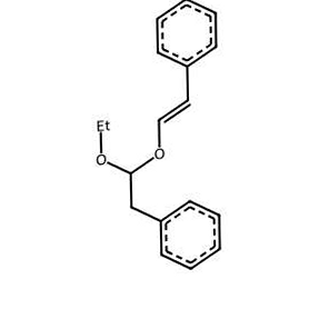 CCOC(Cc1ccccc1)OC=Cc1ccccc1